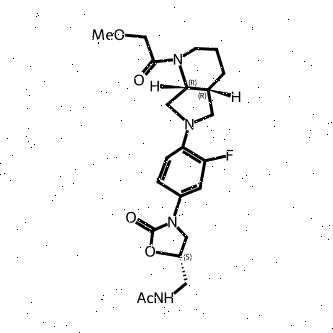 COCC(=O)N1CCC[C@@H]2CN(c3ccc(N4C[C@H](CNC(C)=O)OC4=O)cc3F)C[C@@H]21